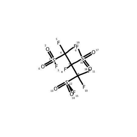 O=S(=O)(F)C(F)(F)C(F)(C(F)(F)S(=O)(=O)F)S(=O)(=O)F